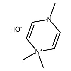 CN1C=C[N+](C)(C)C=C1.[OH-]